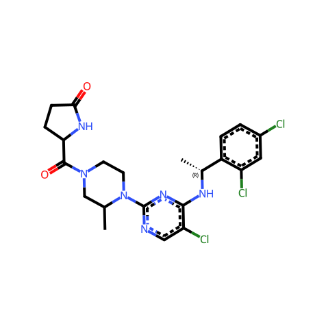 CC1CN(C(=O)C2CCC(=O)N2)CCN1c1ncc(Cl)c(N[C@H](C)c2ccc(Cl)cc2Cl)n1